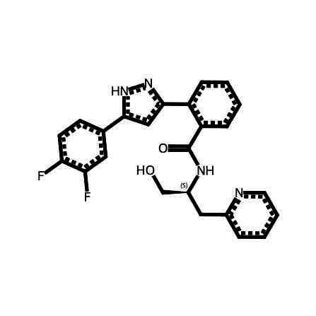 O=C(N[C@H](CO)Cc1ccccn1)c1ccccc1-c1cc(-c2ccc(F)c(F)c2)[nH]n1